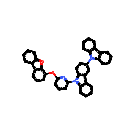 c1cc(Oc2cccc3c2oc2ccccc23)nc(-n2c3ccccc3c3cc(-n4c5ccccc5c5ccccc54)ccc32)c1